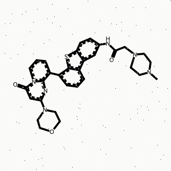 CN1CCN(CC(=O)Nc2ccc3sc4c(-c5cccn6c(=O)cc(N7CCOCC7)nc56)cccc4c3c2)CC1